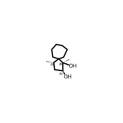 C[C@H]1C[C@H](O)[C@](C)(O)C12CCCCCC2